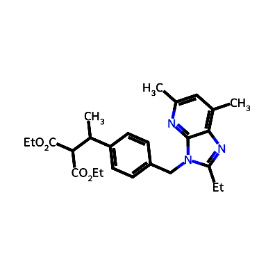 CCOC(=O)C(C(=O)OCC)C(C)c1ccc(Cn2c(CC)nc3c(C)cc(C)nc32)cc1